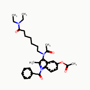 CCN(CC)C(=O)CCCCCCN(C(C)=O)c1c(C)n(C(=O)c2ccccc2)c2ccc(OC(C)=O)cc12